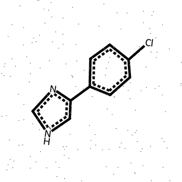 Clc1ccc(-c2c[nH]cn2)cc1